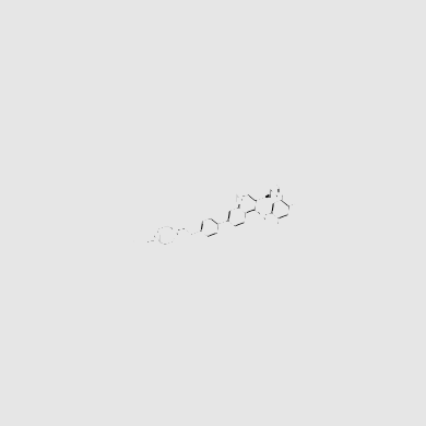 CCN1CCN(CCc2ccc(-c3ccc4c(Nc5cc(OC)c(Cl)cc5Cl)c(C#N)cnc4c3)cc2)CC1